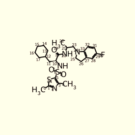 Cc1nc(C)c(S(=O)(=O)N[C@@H](CC2CCCCC2)C(=O)NC(C)CN2CCc3cc(F)ccc32)s1